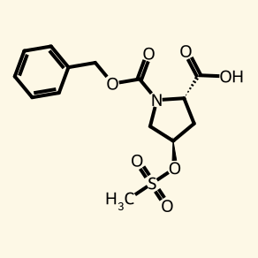 CS(=O)(=O)O[C@@H]1C[C@@H](C(=O)O)N(C(=O)OCc2ccccc2)C1